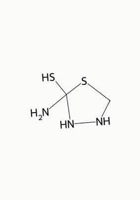 NC1(S)NNCS1